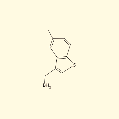 BCc1csc2ccc(C)cc12